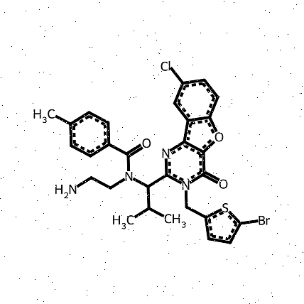 Cc1ccc(C(=O)N(CCN)C(c2nc3c(oc4ccc(Cl)cc43)c(=O)n2Cc2ccc(Br)s2)C(C)C)cc1